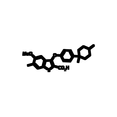 COc1cc2c(Oc3ccc(C4(C)CCC(C)CC4)cc3)c(C(=O)O)sc2cc1C